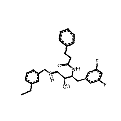 CCc1cccc(CNC[C@H](O)[C@H](Cc2cc(F)cc(F)c2)NC(=O)CCc2ccccc2)c1